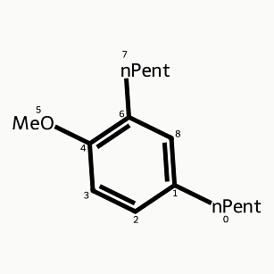 CCCCCc1ccc(OC)c(CCCCC)c1